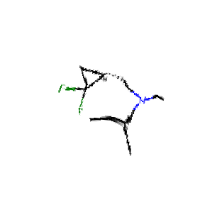 CC(C)N(C)C[C@H]1CC1(F)F